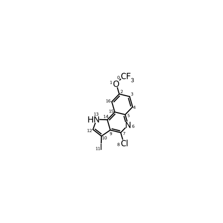 FC(F)(F)Oc1ccc2nc(Cl)c3c(I)c[nH]c3c2c1